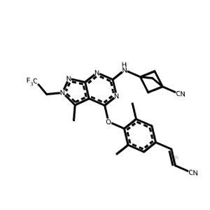 Cc1cc(/C=C/C#N)cc(C)c1Oc1nc(NC23CC(C#N)(C2)C3)nc2nn(CC(F)(F)F)c(C)c12